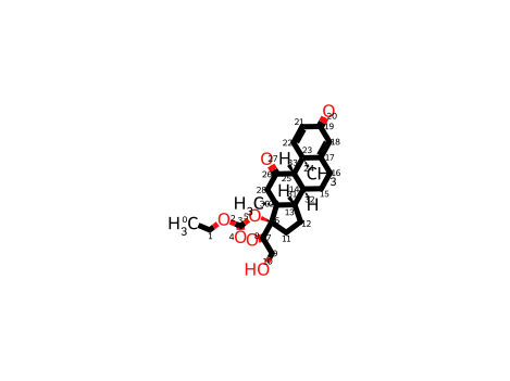 CCOC(=O)O[C@]1(C(=O)CO)CC[C@H]2[C@@H]3CCC4=CC(=O)C=C[C@]4(C)[C@H]3C(=O)C[C@@]21C